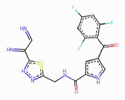 N=CC(=N)c1nnc(CNC(=O)c2cc(C(=O)c3c(F)cc(F)cc3F)c[nH]2)s1